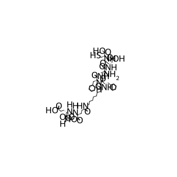 N[C@@H](CNC(=O)[C@H](Cc1ccccc1)NC(=O)[C@H](Cc1ccccc1)NC(=O)CCCCCCCNC(=O)CC[C@H](NC(=O)N[C@@H](CCC(=O)O)C(=O)O)C(=O)O)C(=O)N[C@@H](CC(=O)O)C(=O)N[C@@H](CS)C(=O)O